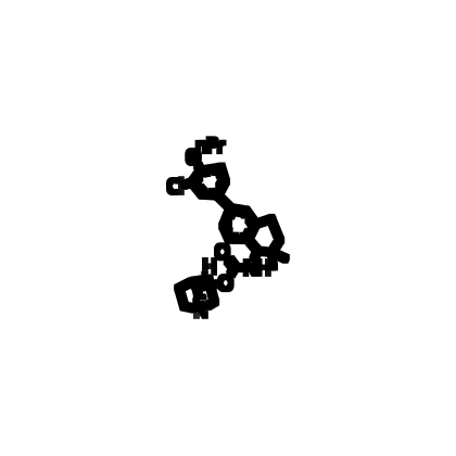 CCCOc1ccc(-c2ccc3c(c2)CCC(C)(C)C3NC(=O)O[C@H]2CN3CCC2CC3)cc1Cl